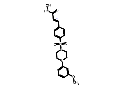 COc1cccc(N2CCN(S(=O)(=O)c3ccc(/C=C/C(=O)NO)cc3)CC2)c1